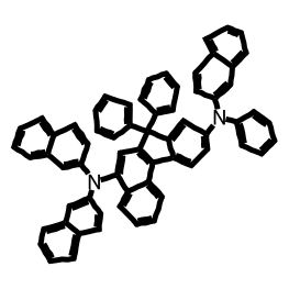 c1ccc(N(c2ccc3c(c2)C(c2ccccc2)(c2ccccc2)c2cc(N(c4ccc5ccccc5c4)c4ccc5ccccc5c4)c4ccccc4c2-3)c2ccc3ccccc3c2)cc1